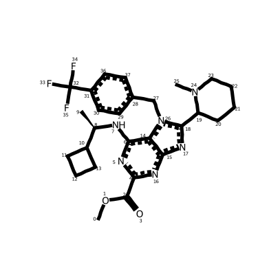 COC(=O)c1nc(N[C@H](C)C2CCC2)c2c(n1)nc(C1CCCCN1C)n2Cc1ccc(C(F)(F)F)cc1